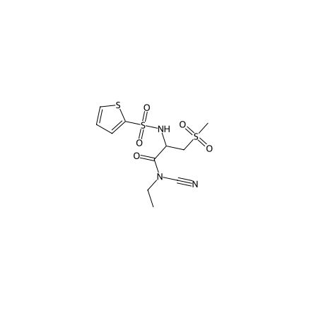 CCN(C#N)C(=O)C(CS(C)(=O)=O)NS(=O)(=O)c1cccs1